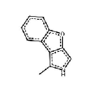 Cc1[nH]cc2oc3ccccc3c12